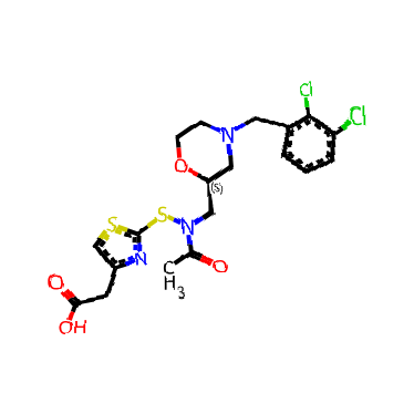 CC(=O)N(C[C@@H]1CN(Cc2cccc(Cl)c2Cl)CCO1)Sc1nc(CC(=O)O)cs1